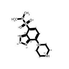 CN(C)S(=O)(=O)c1ccc(N2CCNCC2)c2nonc12